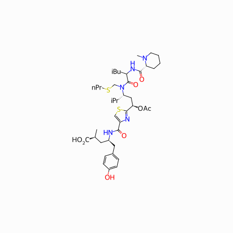 CCCSCN(C(=O)C(NC(=O)[C@H]1CCCCN1C)C(C)CC)[C@H](C[C@@H](OC(C)=O)c1nc(C(=O)N[C@@H](Cc2ccc(O)cc2)C[C@H](C)C(=O)O)cs1)C(C)C